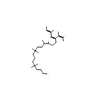 C/C=C(\C)C1=C(/C(C)=C(\C)O)CC[C@@](C)(C(C)CCC(C)(C)CCCC(C)(C)CCCC(C)C)O1